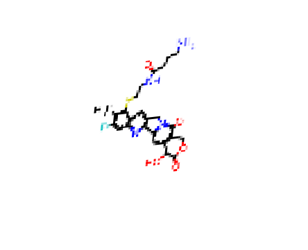 Cc1c(F)cc2nc3c(cc2c1SCCNC(=O)CCCN)Cn1c-3cc2c(c1=O)COC(=O)C2O